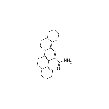 NC(=O)C1=CC2=C3CCCCC3CCC2C2=C1C1=CCCCC1CC2